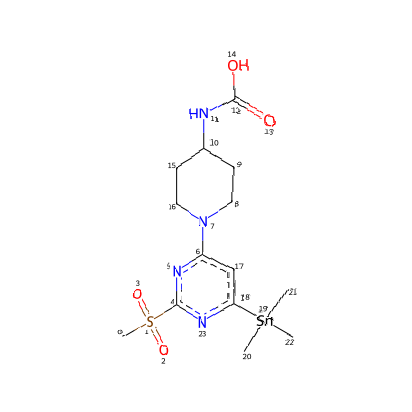 CS(=O)(=O)c1nc(N2CCC(NC(=O)O)CC2)c[c]([Sn]([CH3])([CH3])[CH3])n1